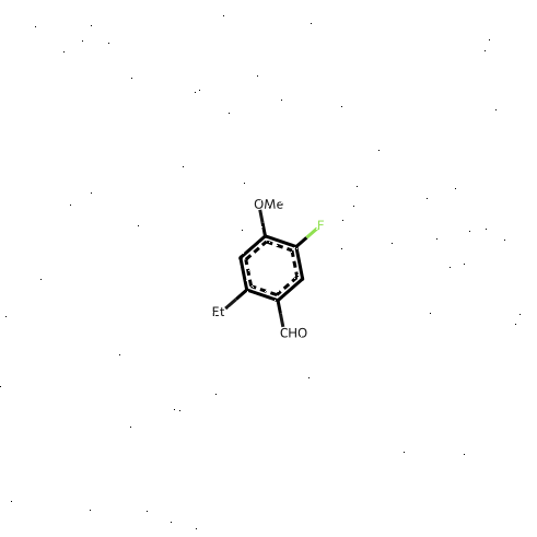 CCc1cc(OC)c(F)cc1C=O